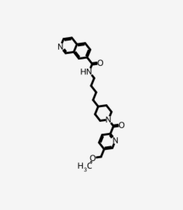 COCc1ccc(C(=O)N2CCC(CCCCNC(=O)c3ccc4ccncc4c3)CC2)nc1